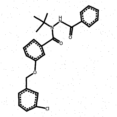 CC(C)(C)N(NC(=O)c1ccccc1)C(=O)c1cccc(OCc2cccc(Cl)c2)c1